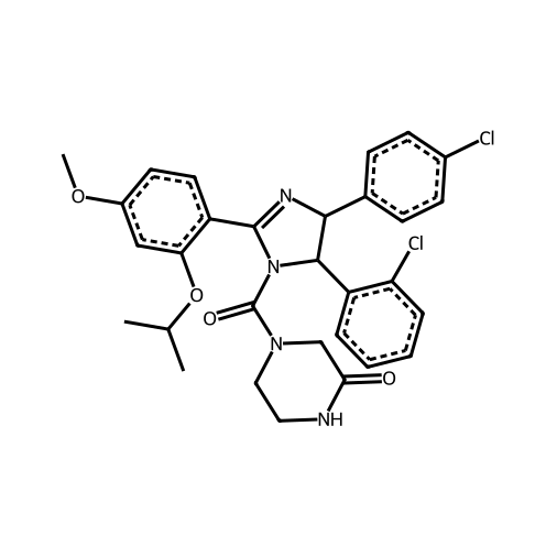 COc1ccc(C2=NC(c3ccc(Cl)cc3)C(c3ccccc3Cl)N2C(=O)N2CCNC(=O)C2)c(OC(C)C)c1